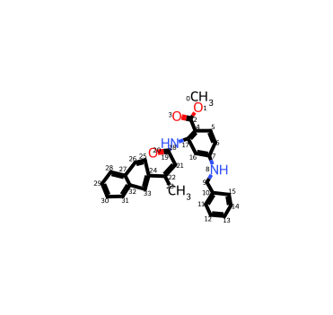 COC(=O)c1ccc(NCc2ccccc2)cc1NC(=O)/C=C(/C)c1ccc2ccccc2c1